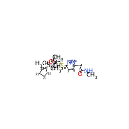 CNC(=O)Cc1ccc(SC[Si](C)(C)O[Si](C)(C)C2CCCC2)nn1